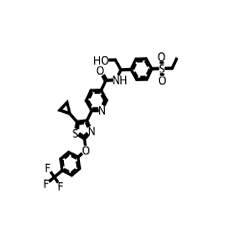 CCS(=O)(=O)c1ccc(C(CO)NC(=O)c2ccc(-c3nc(Oc4ccc(C(F)(F)F)cc4)sc3C3CC3)nc2)cc1